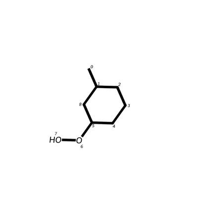 CC1CCCC(OO)C1